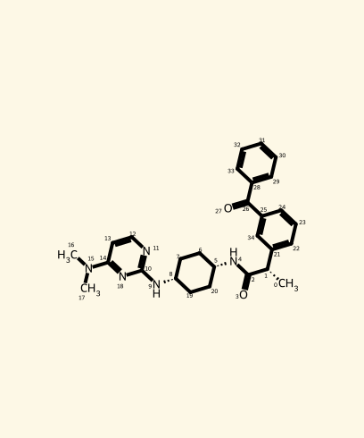 C[C@H](C(=O)N[C@H]1CC[C@@H](Nc2nccc(N(C)C)n2)CC1)c1cccc(C(=O)c2ccccc2)c1